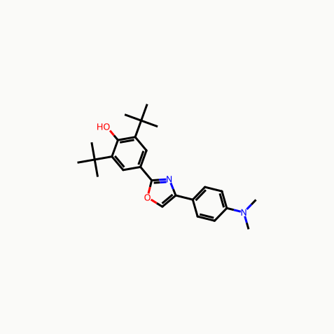 CN(C)c1ccc(-c2coc(-c3cc(C(C)(C)C)c(O)c(C(C)(C)C)c3)n2)cc1